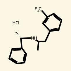 CC(Cc1cccc(C(F)(F)F)c1)N[C@@H](C)c1ccccc1.Cl